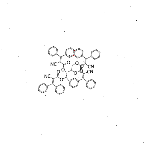 CC(OC(=O)C(C#N)=C(c1ccccc1)c1ccccc1)C(OC(=O)C(C#N)=C(c1ccccc1)c1ccccc1)C(COC(=O)C(C#N)=C(c1ccccc1)c1ccccc1)OC(=O)C(C#N)=C(c1ccccc1)c1ccccc1